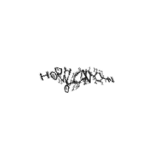 N#Cc1ccc(-c2cn3ccc(C(=O)NCC(=O)O)cc3n2)cc1